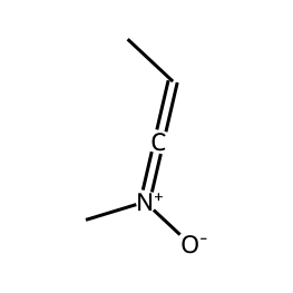 CC=C=[N+](C)[O-]